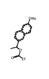 CCC(=O)OC(C)c1ccc2cc(OC)ccc2c1